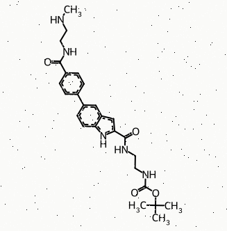 CNCCNC(=O)c1ccc(-c2ccc3[nH]c(C(=O)NCCNC(=O)OC(C)(C)C)cc3c2)cc1